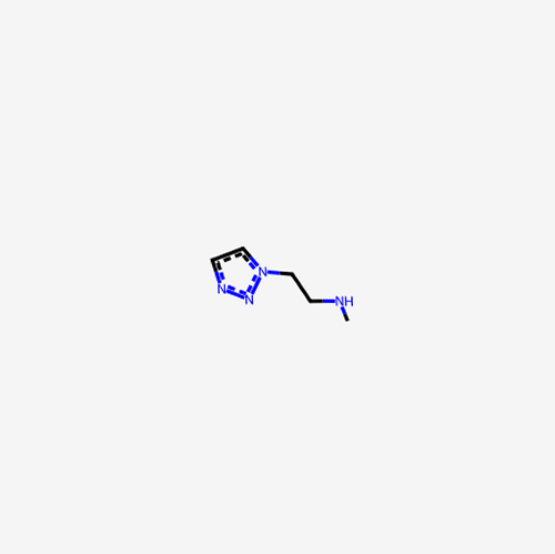 CNCCn1ccnn1